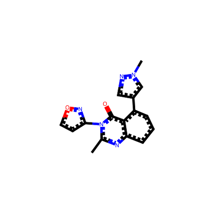 Cc1nc2cccc(-c3cnn(C)c3)c2c(=O)n1-c1ccon1